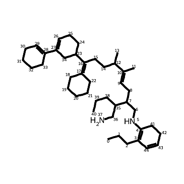 CCCC1=C(NCC(C/C=C(\C)C(C)CCC(=C2CCCCC2)C2CCC=C(C3=CCCCC3)C2)C(CN)CCC)CCC=C1